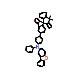 CC1(C)c2ccccc2C2(c3ccccc3-c3cc(-c4ccc(N(c5ccccc5)c5ccc6oc7ccccc7c6c5)cc4)ccc32)c2ccccc21